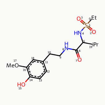 CCS(=O)(=O)NC(C(=O)NCCc1ccc(O)c(OC)c1)C(C)C